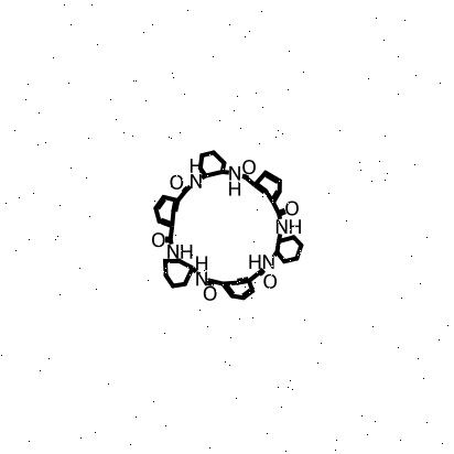 O=C1NC2CCCCC2NC(=O)c2cccc(c2)C(=O)NC2CCCCC2NC(=O)c2cccc(c2)C(=O)NC2CCCCC2NC(=O)c2cccc1c2